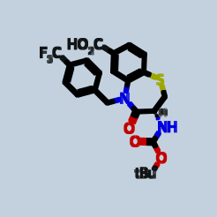 CC(C)(C)OC(=O)N[C@H]1CSc2ccc(C(=O)O)cc2N(Cc2ccc(C(F)(F)F)cc2)C1=O